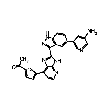 CC(=O)c1ccc(-c2ccnc3[nH]c(-c4n[nH]c5ccc(-c6cncc(N)c6)cc45)nc23)s1